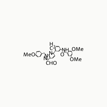 COc1ccc(Cn2nc(C=O)c3ccc(-c4cc(NC(=O)c5cc(OC)cc(OC)c5)ccc4C)nc32)cc1